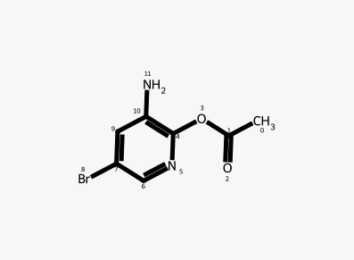 CC(=O)Oc1ncc(Br)cc1N